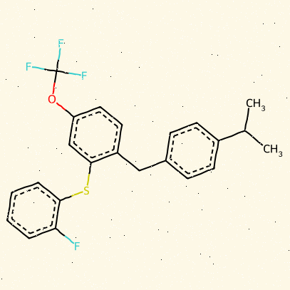 CC(C)c1ccc(Cc2ccc(OC(F)(F)F)cc2Sc2ccccc2F)cc1